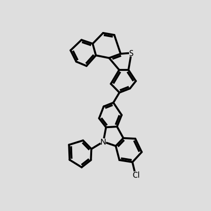 Clc1ccc2c3cc(-c4ccc5sc6ccc7ccccc7c6c5c4)ccc3n(-c3ccccc3)c2c1